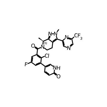 C[C@H]1c2nn(C)c(-c3cncc(C(F)(F)F)n3)c2CCN1C(=O)c1cc(F)cc(-c2ccc(=O)[nH]c2)c1Cl